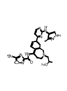 Cc1n[nH]cc1Nc1nccc(-c2ccc3c(c2)CN(CC(C)O)CCC3NC(=O)c2noc(C(C)(C)C)n2)n1